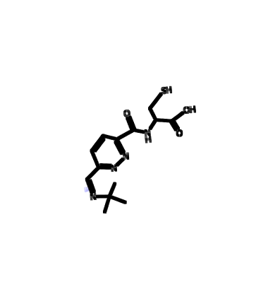 CC(C)(C)/N=C\c1ccc(C(=O)NC(CS)C(=O)O)nn1